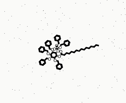 CCCCCCCCCCCCCCCC(=O)O[C@@H]1C(OCc2ccccc2)C(OCc2ccccc2)[C@H](OCc2ccccc2)[C@H](OCc2ccccc2)C1OP(=O)(OCc1ccccc1)OCc1ccccc1